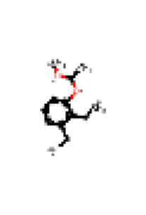 CCc1cccc(OC(C)O[SiH3])c1CC